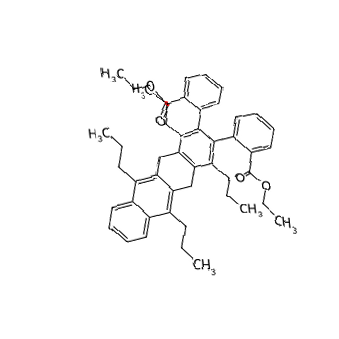 CCCc1c2c(c(CCC)c(-c3ccccc3C(=O)OCC)c1-c1ccccc1C(=O)OCC)Cc1c(c(CCC)c3ccccc3c1CCC)C2